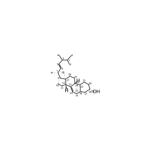 CC(C)C(C)/C=C/[C@@H](C)[C@H]1CC[C@H]2C3=CCC4C[C@@H](O)CC[C@]4(C)[C@H]3CC[C@]12C